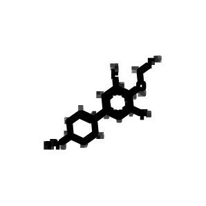 CCCC1CC=C(c2cc(F)c(OCF)c(F)c2)CC1